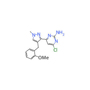 COc1ccccc1Cc1cn(C)nc1-c1cc(Cl)nc(N)n1